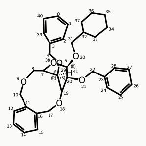 c1ccc(CO[C@@H]2C3COCc4ccccc4COC2[C@H](OCc2ccccc2)[C@H](OCC2CCCCC2)O3)cc1